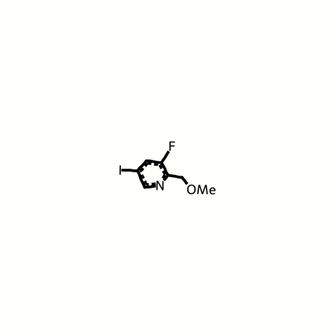 COCc1ncc(I)cc1F